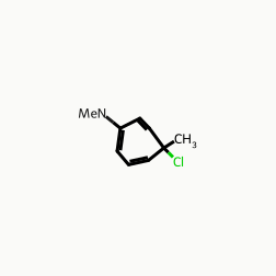 CNC1=CC=CC(C)(Cl)C=C1